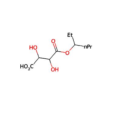 CCCC(CC)OC(=O)C(O)C(O)C(=O)O